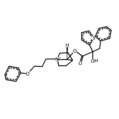 O=C(O[C@H]1C[N+]2(CCCOc3ccccc3)CCC1CC2)C(O)(Cc1ccccc1)c1cccs1